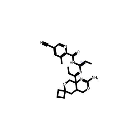 C/C=C(\N=C(/CC)C12COC3(CCC3)CC1COC(N)=N2)NC(=O)c1ncc(C#N)cc1C